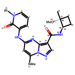 CNc1cc(Nc2cccn(C(C)C)c2=O)nc2c(C(=O)N[C@@H]3CC[C@@]3(C)OC)cnn12